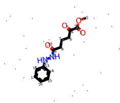 COC(=O)C(=O)CCCC(=O)NNc1ccccc1